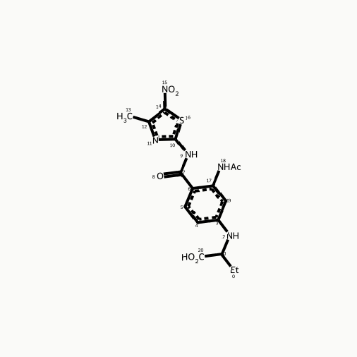 CCC(Nc1ccc(C(=O)Nc2nc(C)c([N+](=O)[O-])s2)c(NC(C)=O)c1)C(=O)O